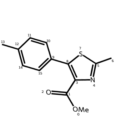 COC(=O)c1nc(C)sc1-c1ccc(C)cc1